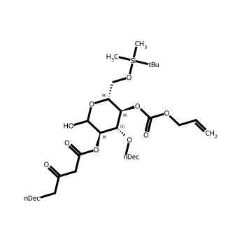 C=CCOC(=O)O[C@H]1[C@H](OCCCCCCCCCC)[C@@H](OC(=O)CC(=O)CCCCCCCCCCC)C(O)O[C@@H]1CO[Si](C)(C)C(C)(C)C